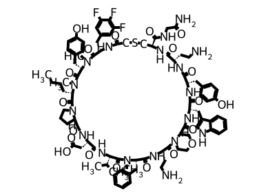 CCCC[C@H]1C(=O)N2CCC[C@@H]2C(=O)N[C@@H](CC(=O)O)C(=O)N[C@@H](C(C)C)C(=O)N(C)[C@@H](Cc2ccccc2)C(=O)N[C@@H](CCN)C(=O)N2CCOC[C@@H]2C(=O)N[C@@H](Cc2c[nH]c3ccccc23)C(=O)N[C@@H](Cc2ccc(O)cc2)C(=O)N[C@@H](CCN)C(=O)N[C@H](C(=O)NCC(N)=O)CSCC(=O)N[C@@H](Cc2cc(F)c(F)c(F)c2)C(=O)N(C)[C@@H](Cc2ccc(O)cc2)C(=O)N1C